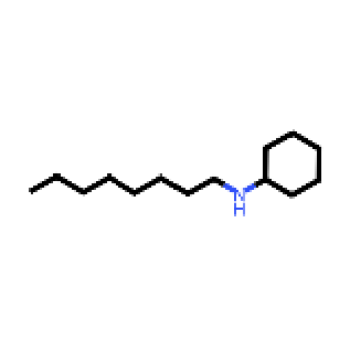 CCCCCCCCNC1CCCCC1